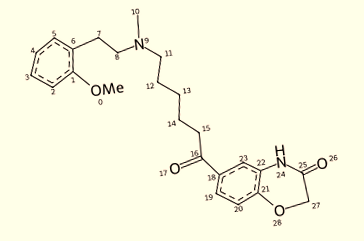 COc1ccccc1CCN(C)CCCCCC(=O)c1ccc2c(c1)NC(=O)CO2